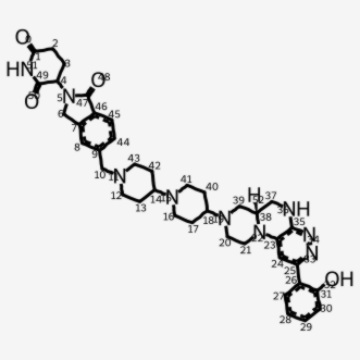 O=C1CCC(N2Cc3cc(CN4CCC(N5CCC(N6CCN7c8cc(-c9ccccc9O)nnc8NC[C@H]7C6)CC5)CC4)ccc3C2=O)C(=O)N1